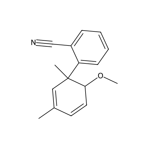 COC1C=CC(C)=CC1(C)c1ccccc1C#N